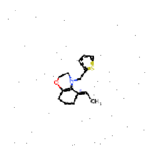 C/C=C1\CCCC2=C1N(Cc1cccs1)CCO2